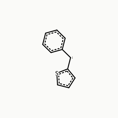 [C](c1ccccc1)c1cccs1